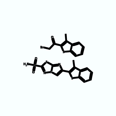 Cc1c(-c2cn3nc(S(N)(=O)=O)sc3n2)sc2ccccc12.Cc1c(C(=O)CBr)sc2ccccc12